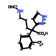 O=CNCCCC(C(=O)O)(c1cc[nH]n1)c1ccccc1C(F)(F)F